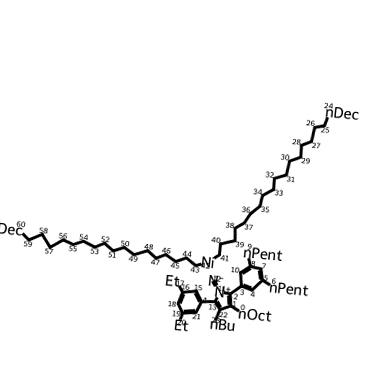 CCCCCCCCC1=C(c2cc(CCCCC)cc(CCCCC)c2)[N+](=[N-])C(c2cc(CC)cc(CC)c2)=C1CCCC.CCCCCCCCCCCCCCCCCCCCCCCCCC[CH2][Ni][CH2]CCCCCCCCCCCCCCCCCCCCCCCCCC